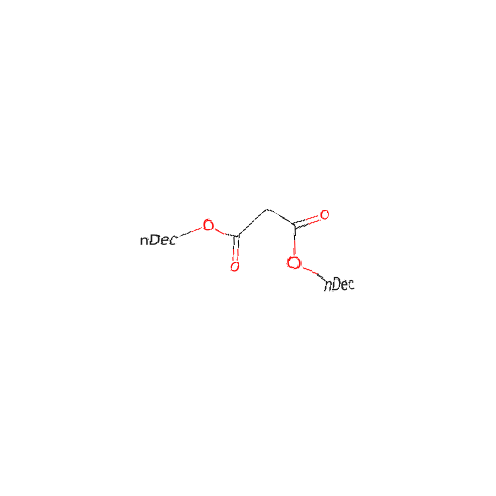 CCCCCCCCCCOC(=O)CC(=O)OCCCCCCCCCC